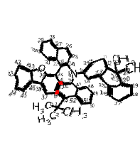 CC(C)(C)c1ccc(N(c2ccc3c(c2)-c2ccccc2C3(C)C)c2ccc3ccccc3c2-c2cccc3c2oc2ccccc23)c2ccccc12